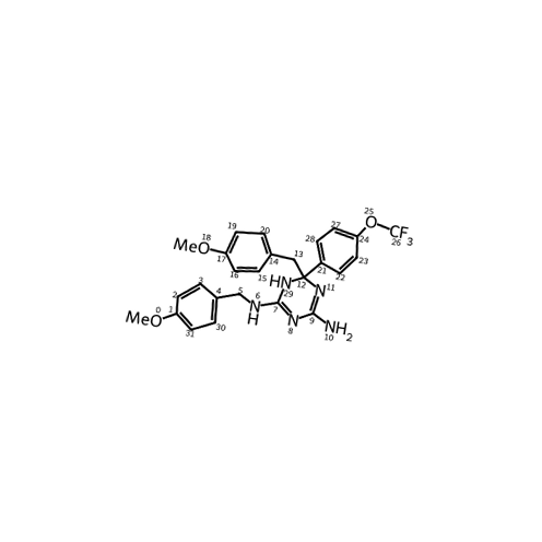 COc1ccc(CNC2=NC(N)=NC(Cc3ccc(OC)cc3)(c3ccc(OC(F)(F)F)cc3)N2)cc1